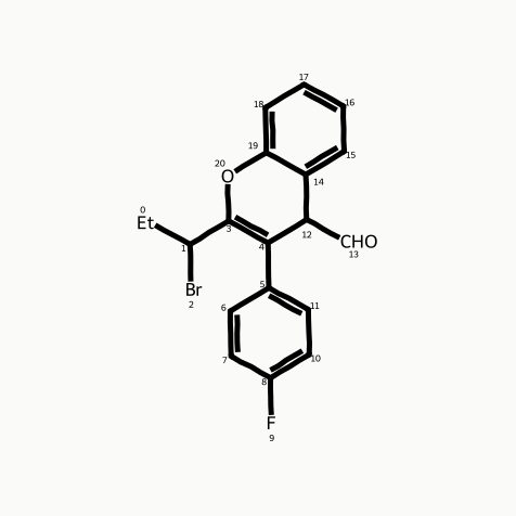 CCC(Br)C1=C(c2ccc(F)cc2)C(C=O)c2ccccc2O1